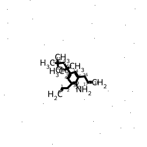 C=CCc1cc(C(C)(C)CC(C)(C)C)cc(CC=C)c1N